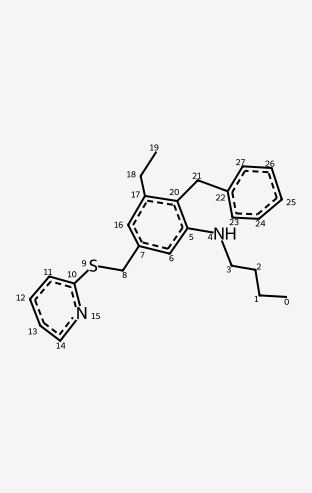 CCCCNc1cc(CSc2ccccn2)cc(CC)c1Cc1ccccc1